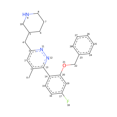 Cc1cc(CC2CCCNC2)nnc1-c1ccc(F)cc1OCc1ccccc1